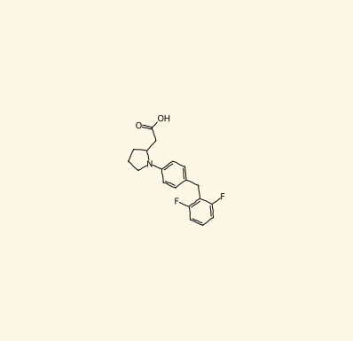 O=C(O)CC1CCCN1c1ccc(Cc2c(F)cccc2F)cc1